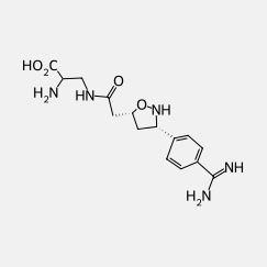 N=C(N)c1ccc([C@@H]2C[C@H](CC(=O)NCC(N)C(=O)O)ON2)cc1